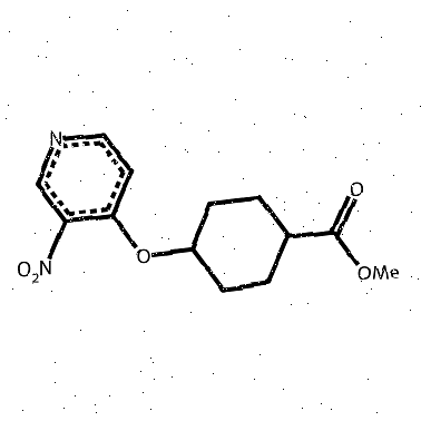 COC(=O)C1CCC(Oc2ccncc2[N+](=O)[O-])CC1